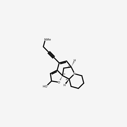 CNCC#CC1=C[C@@H]2C[C@@]3(OC(O)C=C13)[C@H]1CCCCN21